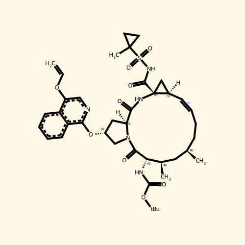 C=COc1cnc(O[C@@H]2C[C@H]3C(=O)N[C@]4(C(=O)NS(=O)(=O)C5(C)CC5)C[C@H]4/C=C\CC[C@@H](C)C[C@@H](C)[C@H](NC(=O)OC(C)(C)C)C(=O)N3C2)c2ccccc12